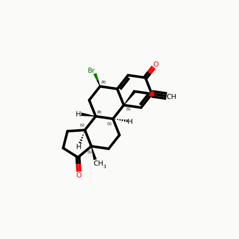 C#CC[C@]12C=CC(=O)C=C1[C@H](Br)C[C@H]1[C@@H]3CCC(=O)[C@@]3(C)CC[C@@H]12